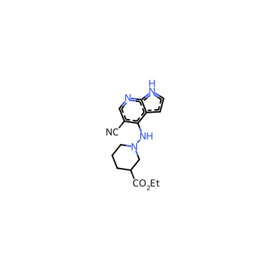 CCOC(=O)C1CCCN(Nc2c(C#N)cnc3[nH]ccc23)C1